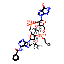 CC(C)(C)[Si](C)(C)O[C@@H]1C2COP(=O)(OCCC#N)O[C@@H]3C(COP(=O)(O)O[C@H]1C(n1cnc4c(=O)[nH]cnc41)O2)OC(n1cnc2c(NC(=O)c4ccccc4)ncnc21)[C@@H]3O[Si](C)(C)C(C)(C)C